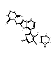 Cc1cc(Cl)cc(-c2ccnc3cc(CN4C(=O)CCCC4=O)sc23)c1C[C@H]1CNCCO1